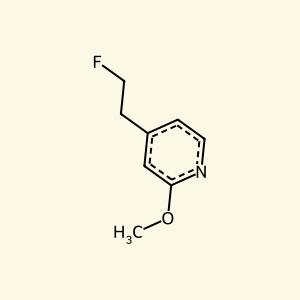 COc1cc(CCF)ccn1